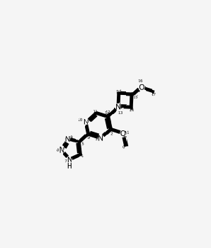 COc1nc(-c2c[nH]nn2)ncc1N1CC(OC)C1